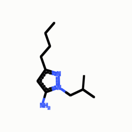 CCCCc1cc(N)n(CC(C)C)n1